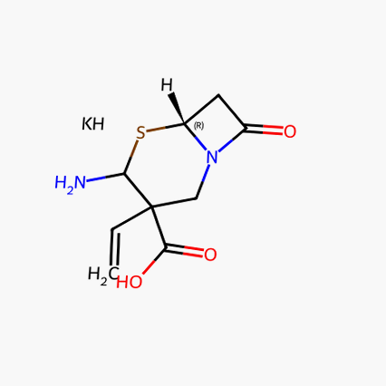 C=CC1(C(=O)O)CN2C(=O)C[C@H]2SC1N.[KH]